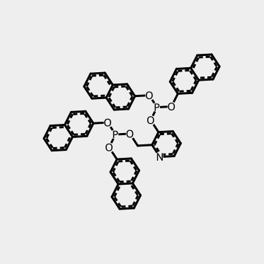 c1cnc(COP(Oc2ccc3ccccc3c2)Oc2ccc3ccccc3c2)c(OP(Oc2ccc3ccccc3c2)Oc2ccc3ccccc3c2)c1